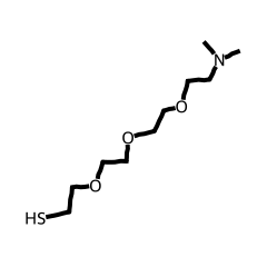 CN(C)CCOCCOCCOCCS